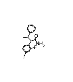 CC(c1ccccc1)C(C(N)=O)c1ccc(I)cc1F